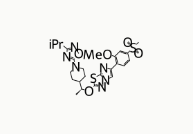 COc1cc(S(C)(=O)=O)ccc1-c1cn2nc(O[C@@H](C)C3CCN(c4nc(C(C)C)no4)CC3)sc2n1